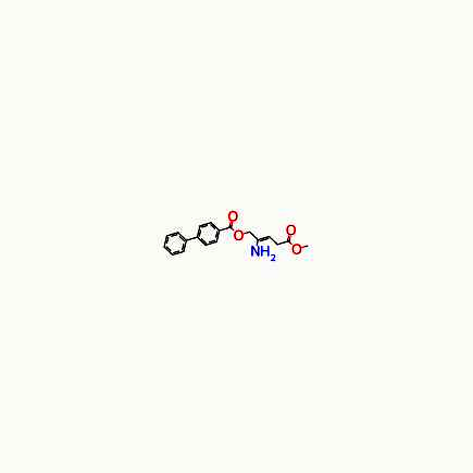 COC(=O)CC=C(N)COC(=O)c1ccc(-c2ccccc2)cc1